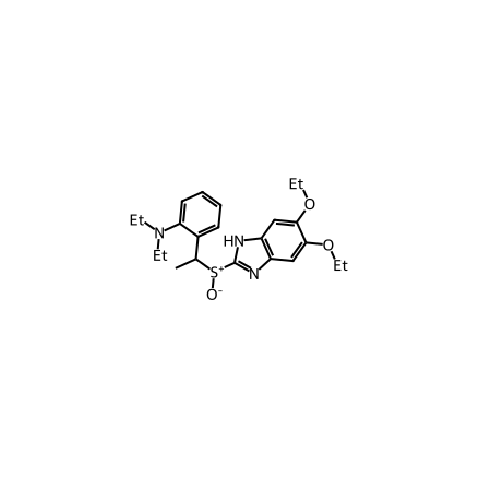 CCOc1cc2nc([S+]([O-])C(C)c3ccccc3N(CC)CC)[nH]c2cc1OCC